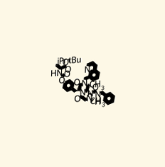 CC(C)CC(NC(=O)Oc1ccc(C[C@H]2C(=O)N(Cc3cccc4cccnc34)[C@@H](C)C3N2C(=O)CN(C)N3C(=O)NCc2ccccc2)cc1)C(=O)OC(C)(C)C